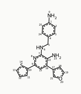 Nc1ccc(CNc2nc(-c3cccs3)cc(-c3ccoc3)c2N)cc1